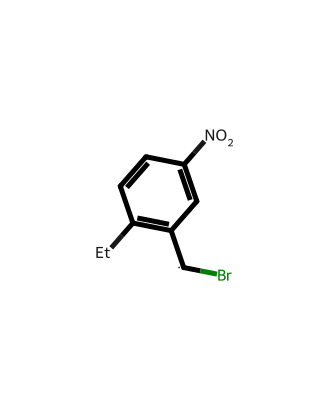 CCc1ccc([N+](=O)[O-])cc1[CH]Br